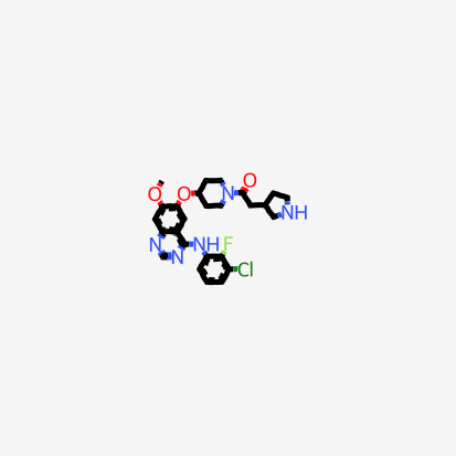 COc1cc2ncnc(Nc3cccc(Cl)c3F)c2cc1OC1CCN(C(=O)CC2CCNC2)CC1